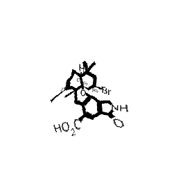 C[C@H]1CC[C@H]2C(C)(C)C[C@@H](Br)C[C@]23Oc2c(c(C(=O)O)cc4c2CNC4=O)C[C@]13C